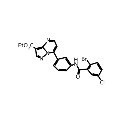 CCOC(=O)c1cnn2c(-c3cccc(NC(=O)c4cc(Cl)ccc4Br)c3)ccnc12